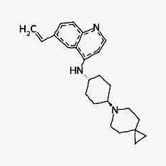 C=Cc1ccc2nccc(N[C@H]3CC[C@H](N4CCC5(CC4)CC5)CC3)c2c1